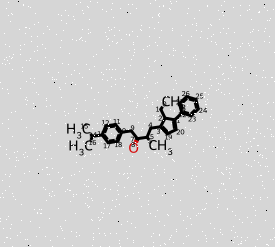 CCC1C(CC(C)C(=O)Cc2ccc(C(C)C)cc2)=CC=C1c1ccccc1